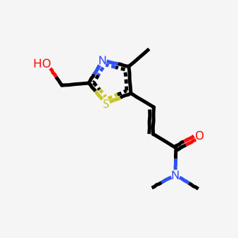 Cc1nc(CO)sc1C=CC(=O)N(C)C